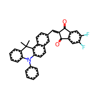 CC1(C)c2ccccc2N(c2ccccc2)c2ccc3cc(C=C4C(=O)c5cc(F)c(F)cc5C4=O)ccc3c21